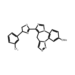 COc1ccc2c(c1)-n1nncc1Cc1c(C3=NC(c4cccc(C(F)(F)F)c4)CO3)ncn1-2